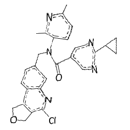 Cc1ccc(N(Cc2ccc3c4c(c(Cl)nc3c2)COC4)C(=O)c2cnc(C3CC3)nc2)c(C)n1